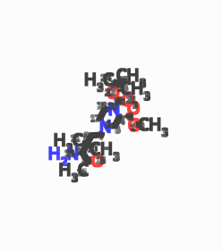 COC(=O)[C@@H]1CN(CCC(C)(C)[C@@H](N)C(C)=O)CCN1C(=O)OC(C)(C)C